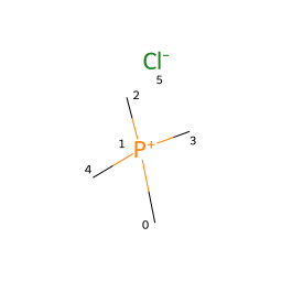 C[P+](C)(C)C.[Cl-]